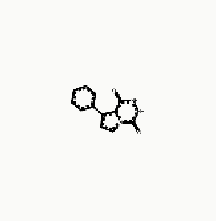 O=c1[nH][nH]c(=O)n2ccc(-c3ccccc3)c12